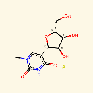 Cn1cc([C@@H]2O[C@H](CO)[C@@H](O)[C@H]2O)c(=O)[nH]c1=O.S